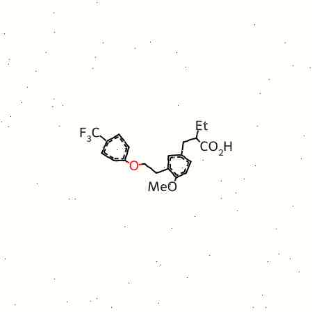 CCC(Cc1ccc(OC)c(CCOc2ccc(C(F)(F)F)cc2)c1)C(=O)O